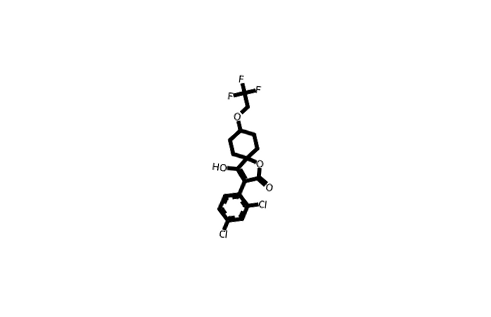 O=C1OC2(CCC(OCC(F)(F)F)CC2)C(O)=C1c1ccc(Cl)cc1Cl